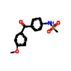 COc1ccc(C(=O)c2ccc(NS(C)(=O)=O)cc2)cc1